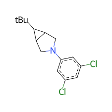 CC(C)(C)C1C2CN(c3cc(Cl)cc(Cl)c3)CC21